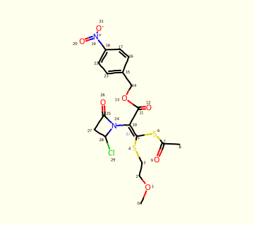 COCCS/C(SC(C)=O)=C(/C(=O)OCc1ccc([N+](=O)[O-])cc1)N1C(=O)CC1Cl